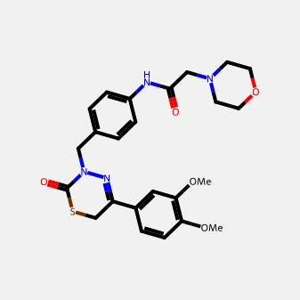 COc1ccc(C2=NN(Cc3ccc(NC(=O)CN4CCOCC4)cc3)C(=O)SC2)cc1OC